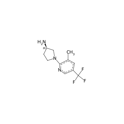 Cc1cc(C(F)(F)F)cnc1N1CC[C@@H](N)C1